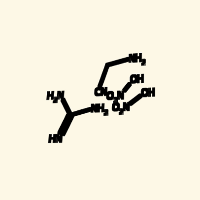 N#CCN.N=C(N)N.O=[N+]([O-])O.O=[N+]([O-])O